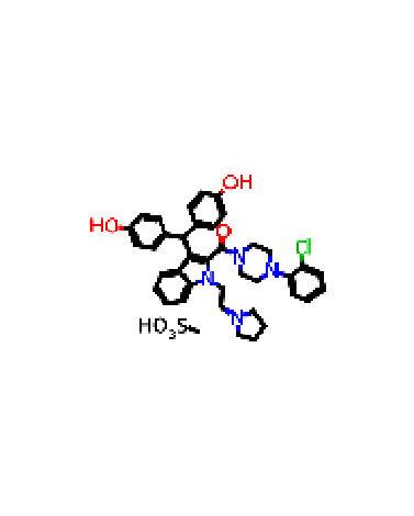 CS(=O)(=O)O.O=C(c1c(C(c2ccc(O)cc2)c2ccc(O)cc2)c2ccccc2n1CCN1CCCC1)N1CCN(c2ccccc2Cl)CC1